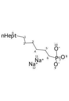 CCCCCCCCCCCCCP(=O)([O-])[O-].[Na+].[Na+]